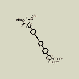 CCCCOC(=O)[C@@H]1OC(c2ccc(C#Cc3ccc(-c4ccc(C5O[C@@H](C(=O)OCC)[C@H](C(=O)OCC)O5)cc4)cc3)cc2)O[C@H]1C(=O)OCCCC